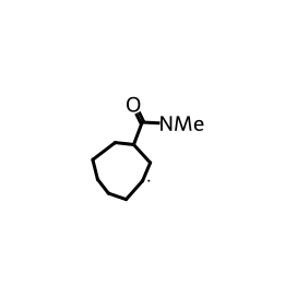 CNC(=O)C1C[CH]CCCCC1